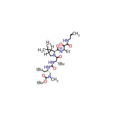 C=CCNC(=O)C(=O)C(CC)NC(=O)[C@@H]1[C@@H]2[C@H](CN1C(=O)[C@@H](NC(=O)N[C@H](CN(C)C(=O)OC(C)(C)C)CC(C)(C)C)C(C)(C)C)C2(C)C